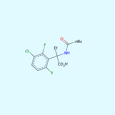 CCCCC(=O)NC(CC)(C(=O)O)c1c(F)ccc(Cl)c1F